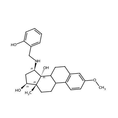 COc1ccc2c(c1)CCC1C2CC[C@]2(C)[C@@H](O)C[C@@H](NCc3ccccc3O)[C@@]12O